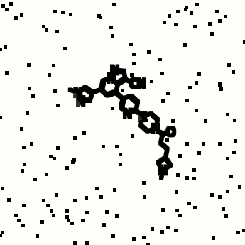 CN1CC(CCC(=O)N2CCN(c3ccc(-c4cc(-c5cnn(C)c5)cn5ncc(C#N)c45)cn3)CC2)C1